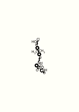 CC(C)(c1ccc(OCCCNc2cccc3c2C(=O)N(C2CCC(=O)NC2=O)C3=O)cc1)c1ccc(OCC(O)CCl)cc1